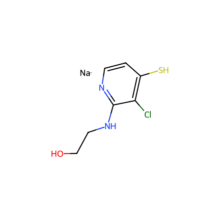 OCCNc1nccc(S)c1Cl.[Na]